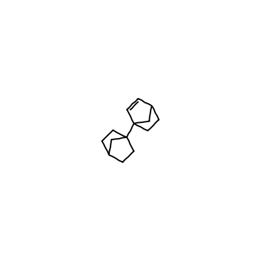 C1=CC2(C34CCC(CC3)C4)CCC1C2